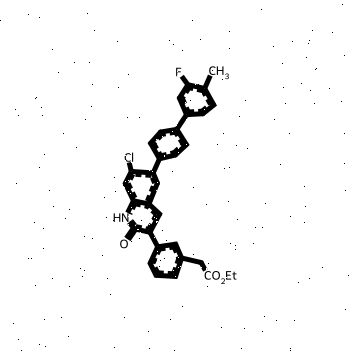 CCOC(=O)Cc1cccc(-c2cc3cc(-c4ccc(-c5ccc(C)c(F)c5)cc4)c(Cl)cc3[nH]c2=O)c1